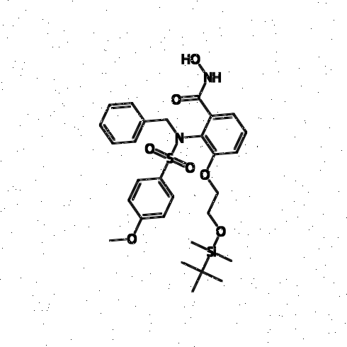 COc1ccc(S(=O)(=O)N(Cc2ccccc2)c2c(OCCO[Si](C)(C)C(C)(C)C)cccc2C(=O)NO)cc1